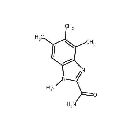 Cc1cc2c(nc(C(N)=O)n2C)c(C)c1C